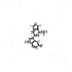 CNc1nc(-c2c[nH]c3ncc(F)cc23)nn2cccc12